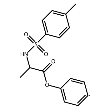 Cc1ccc(S(=O)(=O)NC(C)C(=O)Oc2cc[c]cc2)cc1